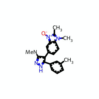 CNc1n[nH]c(-c2cccc(C)c2)c1-c1ccc2c(c1)[n+]([O-])c(C)n2C